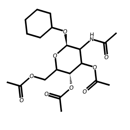 CC(=O)NC1C(OC(C)=O)[C@H](OC(C)=O)C(COC(C)=O)O[C@H]1OC1CCCCC1